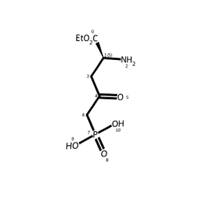 CCOC(=O)[C@@H](N)CC(=O)CP(=O)(O)O